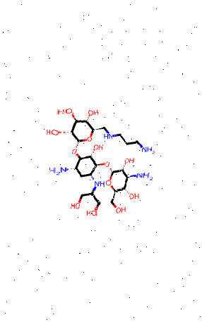 NCCCNC[C@H]1O[C@H](OC2[C@@H](N)C[C@@H](NC(CO)CO)[C@H](O[C@H]3O[C@H](CO)[C@@H](O)[C@H](N)[C@H]3O)[C@H]2O)[C@H](O)[C@@H](O)[C@@H]1O